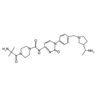 CC(N)C1CCN(Cc2ccc(-n3ccc(NC(=O)N4CCN(C(=O)C(C)(C)N)CC4)nc3=O)cc2)C1